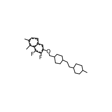 Cc1ccc2cc(OCC3CCC(CCC4CCC(C)CC4)CC3)c(F)c(F)c2c1C